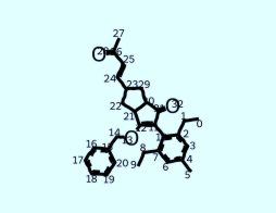 CCc1cc(C)cc(CC)c1C1=C(OCc2ccccc2)C2CC(/C=C/C(C)=O)CC2C1=O